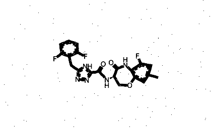 Cc1cc(F)c2c(c1)OC[C@H](NC(=O)c1nnc(Cc3c(F)cccc3F)[nH]1)C(=O)N2